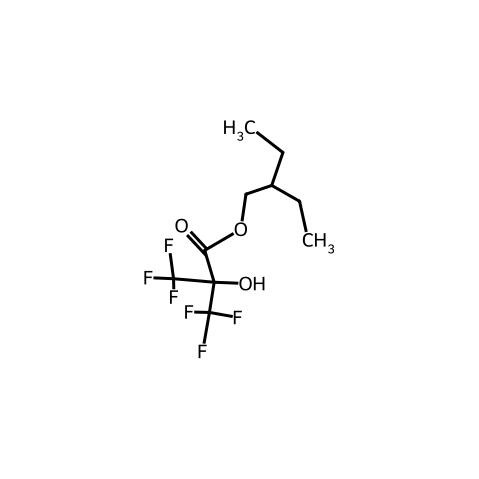 CCC(CC)COC(=O)C(O)(C(F)(F)F)C(F)(F)F